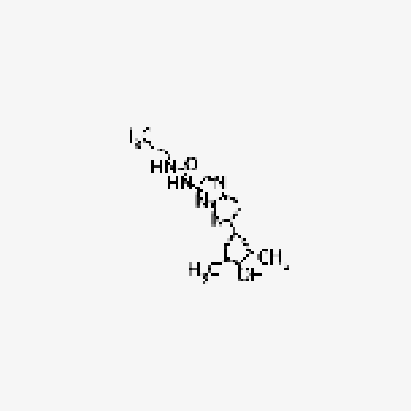 CCCNC(=O)Nc1cnc2ccc(-c3cc(C)c(O)c(C)c3)nc2n1